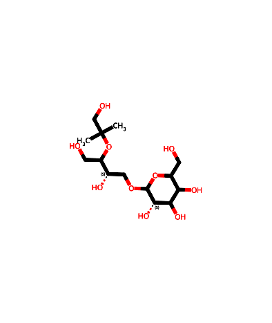 CC(C)(CO)OC(CO)[C@@H](O)COC1OC(CO)C(O)C(O)[C@@H]1O